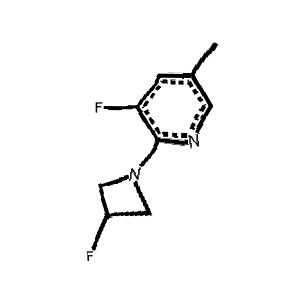 Cc1cnc(N2CC(F)C2)c(F)c1